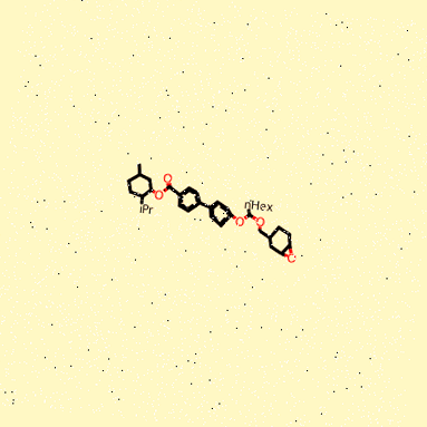 CCCCCCC(OCC1CCC2OC2C1)Oc1ccc(-c2ccc(C(=O)OC3CC(C)CCC3C(C)C)cc2)cc1